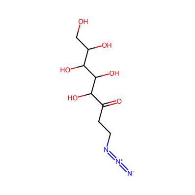 [N-]=[N+]=NCCC(=O)C(O)C(O)C(O)C(O)CO